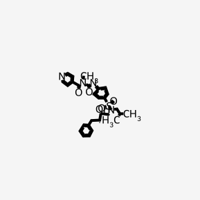 CC(C)CN(CC(O)[CH]Cc1ccccc1)S(=O)(=O)c1ccc2nc(N(C)C(=O)c3ccncc3)oc2c1